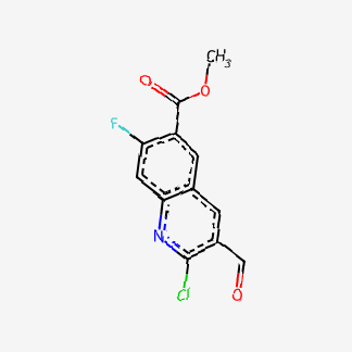 COC(=O)c1cc2cc(C=O)c(Cl)nc2cc1F